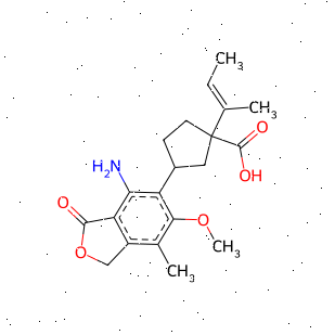 CC=C(C)C1(C(=O)O)CCC(c2c(N)c3c(c(C)c2OC)COC3=O)C1